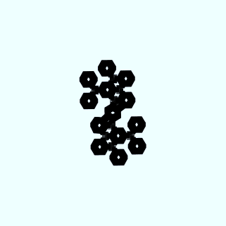 c1ccc(N(c2ccccc2)c2cc3c4c(c2)-n2c5cc6c7cccc8c7n(c6cc5c5cccc(c52)B4c2ccccc2N3c2ccccc2)-c2cc(N(c3ccccc3)c3ccccc3)cc3c2B8c2ccccc2N3c2ccccc2)cc1